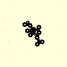 c1ccc(-c2ccc(-n3c4ccc(-n5c6ccccc6c6ccccc65)cc4c4ccc5c6ccccc6n(-c6nc(-c7ccccc7)nc(-c7ccc8oc9ccccc9c8c7)n6)c5c43)cc2)cc1